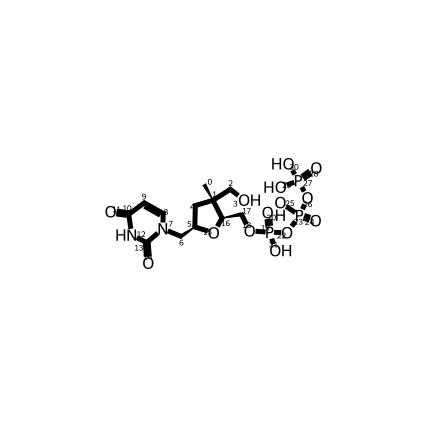 C[C@]1(CO)C[C@H](Cn2ccc(=O)[nH]c2=O)O[C@@H]1COP(=O)(O)OP(=O)(O)OP(=O)(O)O